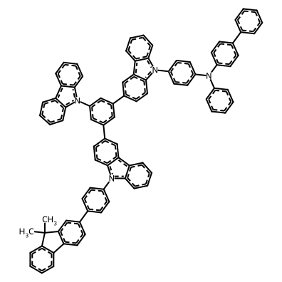 CC1(C)c2ccccc2-c2ccc(-c3ccc(-n4c5ccccc5c5cc(-c6cc(-c7ccc8c(c7)c7ccccc7n8-c7ccc(N(c8ccccc8)c8ccc(-c9ccccc9)cc8)cc7)cc(-n7c8ccccc8c8ccccc87)c6)ccc54)cc3)cc21